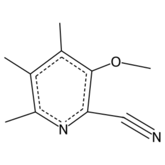 COc1c(C#N)nc(C)c(C)c1C